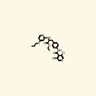 CCCSc1ccnc(NC(Cc2ccc(NC(=O)c3c(Cl)cncc3Cl)cc2)C(=O)OCC)c1